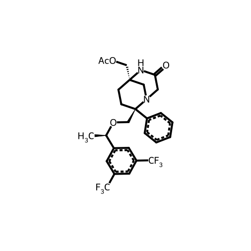 CC(=O)OC[C@]12CC[C@@](CO[C@H](C)c3cc(C(F)(F)F)cc(C(F)(F)F)c3)(c3ccccc3)N(CC(=O)N1)C2